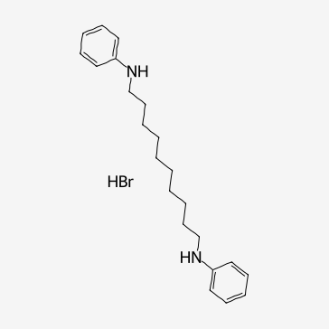 Br.c1ccc(NCCCCCCCCCCNc2ccccc2)cc1